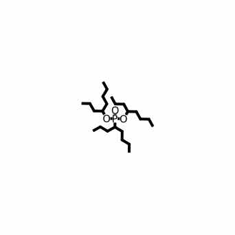 CCCCC(CCC)OP(=O)(OC(CCC)CCCC)C(CCC)CCCC